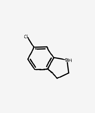 Clc1ccc2c(c1)BCC2